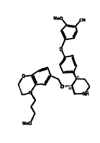 COCCCN1CCOc2ccc(CO[C@H]3CNCC[C@@H]3c3ccc(Oc4ccc(C#N)c(OC)c4)cc3)cc21